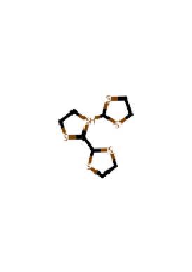 C1CSC(C2SCC[SH]2C2SCCS2)S1